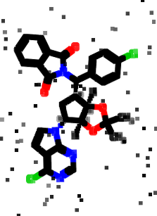 CC1(C)O[C@@H]2[C@H](O1)[C@@H](C(c1ccc(Cl)cc1)N1C(=O)c3ccccc3C1=O)C[C@H]2n1ccc2c(Cl)ncnc21